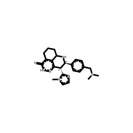 CN(C)Cc1ccc([C@@H]2NC3CCCc4c3c(n[nH]c4=O)[C@H]2c2nccn2C)cc1